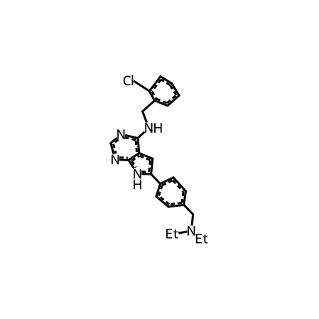 CCN(CC)Cc1ccc(-c2cc3c(NCc4ccccc4Cl)ncnc3[nH]2)cc1